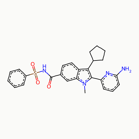 Cn1c(-c2cccc(N)n2)c(C2CCCC2)c2ccc(C(=O)NS(=O)(=O)c3ccccc3)cc21